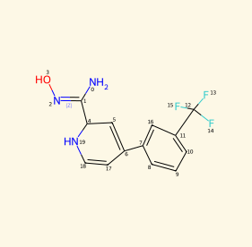 N/C(=N\O)C1C=C(c2cccc(C(F)(F)F)c2)C=CN1